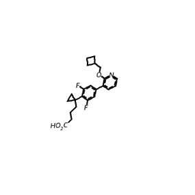 O=C(O)CCCC1(c2c(F)cc(-c3cccnc3OCC3CCC3)cc2F)CC1